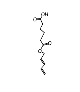 C=CC=CCOC(=O)CCCCC(=O)O